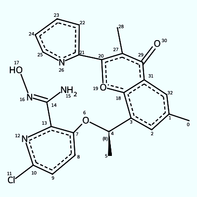 Cc1cc([C@@H](C)Oc2ccc(Cl)nc2C(N)=NO)c2oc(-c3ccccn3)c(C)c(=O)c2c1